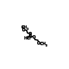 COCC[O][Al][O]CCOC.Cl